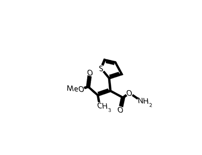 COC(=O)C(C)=C(C(=O)ON)c1cccs1